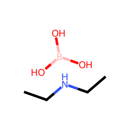 CCNCC.OB(O)O